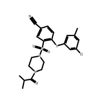 Cc1cc(Cl)cc(Sc2ccc(C#N)cc2S(=O)(=O)N2CCN(C(=O)C(C)C)CC2)c1